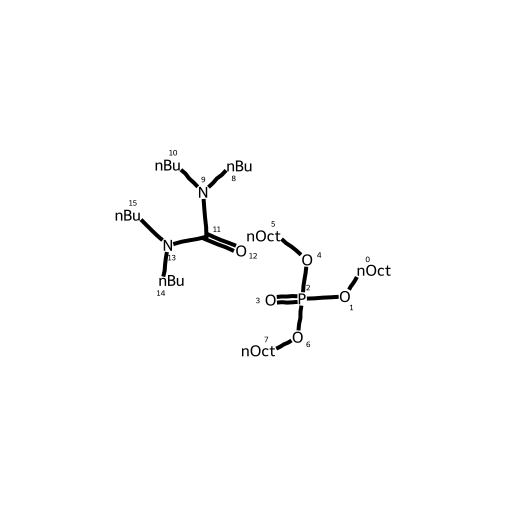 CCCCCCCCOP(=O)(OCCCCCCCC)OCCCCCCCC.CCCCN(CCCC)C(=O)N(CCCC)CCCC